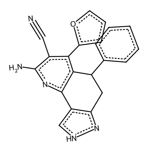 N#Cc1c(N)nc2c(c1-c1ccco1)C(c1ccccc1)Cc1n[nH]cc1-2